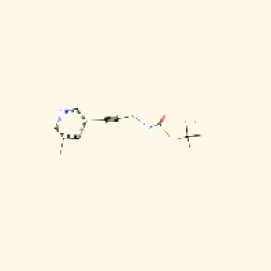 Cc1cncc(C#CCNC(=O)OC(C)(C)C)c1